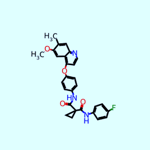 COc1cc2c(Oc3ccc(NC(=O)C4(C(=O)Nc5ccc(F)cc5)CC4)cc3)ccnc2cc1C